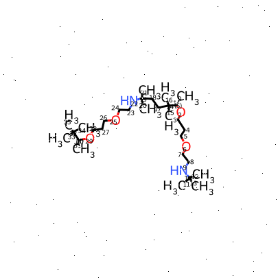 C[C@H](OCCCOCCNC(C)(C)C)C(C)(C)CCC(C)(C)NCCOCCCO[C@H](C)C(C)(C)C